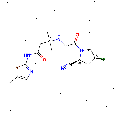 Cc1cnc(NC(=O)CC(C)(C)NCC(=O)N2C[C@@H](F)C[C@H]2C#N)s1